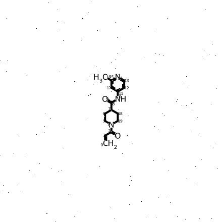 C=CC(=O)N1CCC(C(=O)Nc2ccnc(C)c2)CC1